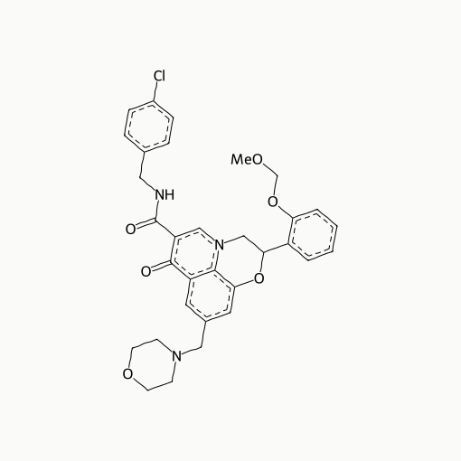 COCOc1ccccc1C1Cn2cc(C(=O)NCc3ccc(Cl)cc3)c(=O)c3cc(CN4CCOCC4)cc(c32)O1